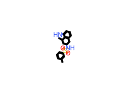 Cc1cccc(S(=O)(=O)NC2Cc3cccc4c3C(CN4)C2)c1